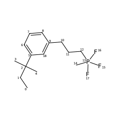 CCC(C)(C)c1cccc(CCCP(C)(F)(F)F)c1